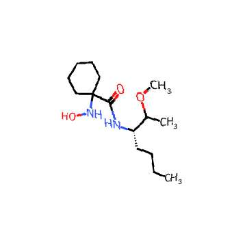 CCCC[C@H](NC(=O)C1(NO)CCCCC1)C(C)OC